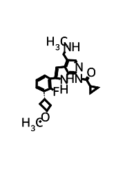 CNCc1cnc(NC(=O)C2CC2)c2[nH]c(-c3cccc([C@H]4C[C@@H](OC)C4)c3F)cc12